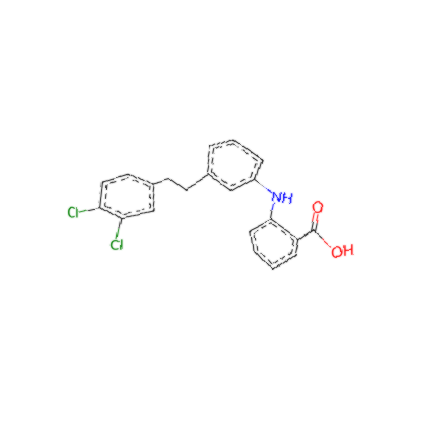 O=C(O)c1ccccc1Nc1cccc(CCc2ccc(Cl)c(Cl)c2)c1